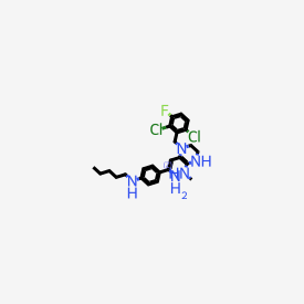 CCCCCNc1ccc(/C(N)=C/C2=C(NC)NCCN2Cc2c(Cl)ccc(F)c2Cl)cc1